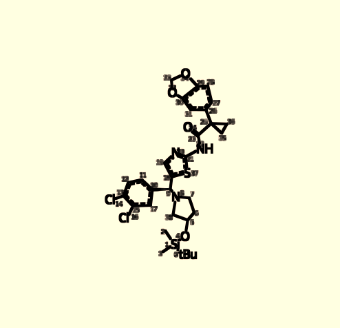 CC(C)(C)[Si](C)(C)OC1CCN([C@@H](c2ccc(Cl)c(Cl)c2)c2cnc(NC(=O)C3(c4ccc5c(c4)OCO5)CC3)s2)C1